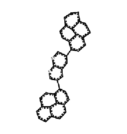 c1cc2ccc3ccc(-c4cnc5ncc(-c6ccc7ccc8cccc9ccc6c7c89)cc5c4)c4ccc(c1)c2c34